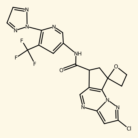 O=C(Nc1cnc(-n2nccn2)c(C(F)(F)F)c1)C1CC2(CCO2)c2c1cnc1cc(Cl)nn21